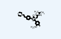 COc1cc(-c2nn(-c3ccc(CCN4CCSCC4)cc3)c(=O)n2CC(=O)NC(C)C)ccc1F